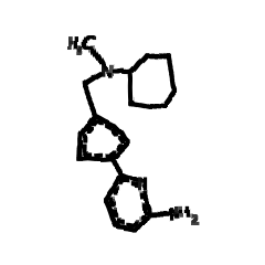 CN(Cc1ccc(-c2cccc(N)n2)cc1)C1CCCCC1